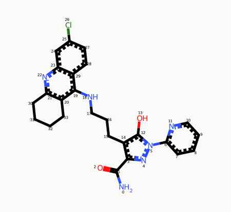 NC(=O)c1nn(-c2ccccn2)c(O)c1CCCNc1c2c(nc3cc(Cl)ccc13)CCCC2